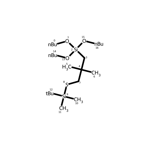 CCCCO[Si](CC(C)(C)CS[Si](C)(C)C(C)(C)C)(OCCCC)OCCCC